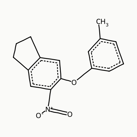 Cc1cccc(Oc2cc3c(cc2[N+](=O)[O-])CCC3)c1